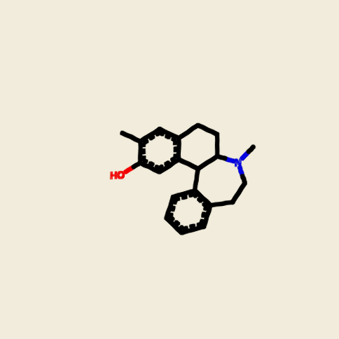 Cc1cc2c(cc1O)C1c3ccccc3CCN(C)C1CC2